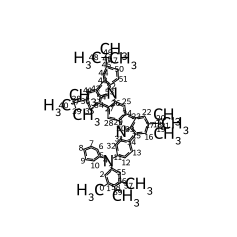 Cc1cc(N(c2ccccc2)c2ccc3c4cc(C(C)(C)C)cc5c6cc7c(cc6n(c3c2)c45)c2cc(C(C)(C)C)cc3c4cc(C(C)(C)C)ccc4n7c32)cc(C)c1C